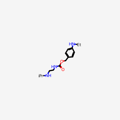 CCNc1ccc(COC(=O)NCCNC(C)C)cc1